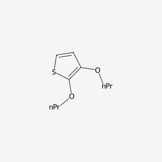 CCCOc1ccsc1OCCC